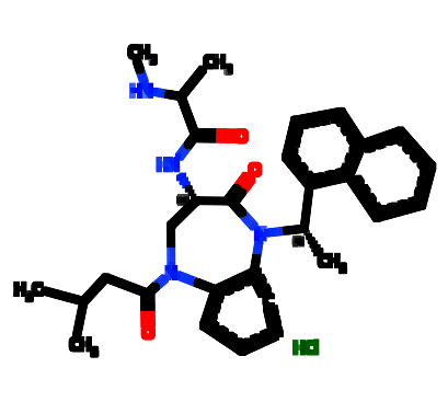 CNC(C)C(=O)N[C@H]1CN(C(=O)CC(C)C)c2ccccc2N([C@@H](C)c2cccc3ccccc23)C1=O.Cl